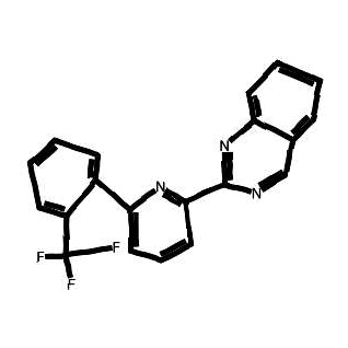 FC(F)(F)c1ccccc1-c1cccc(-c2ncc3ccccc3n2)n1